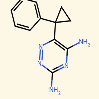 Nc1nnc(C2(c3ccccc3)CC2)c(N)n1